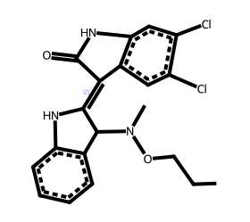 CCCON(C)C1/C(=C2/C(=O)Nc3cc(Cl)c(Cl)cc32)Nc2ccccc21